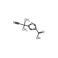 CC(C)(C#N)c1cc(C(=O)O)cs1